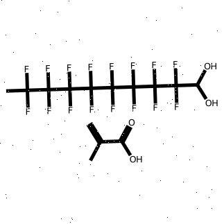 C=C(C)C(=O)O.CC(F)(F)C(F)(F)C(F)(F)C(F)(F)C(F)(F)C(F)(F)C(F)(F)C(F)(F)C(O)O